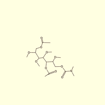 COC(COC(C)=O)C(OC)C(OC)C(OC(C)=O)C(COC(=O)N(C)C)OC